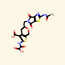 CC(=O)Nc1nc2c(s1)C(=O)N(CC1Cc3c(sc(NC(=O)C(=O)O)c3C(=O)O)CO1)C2=O